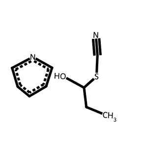 CCC(O)SC#N.c1ccncc1